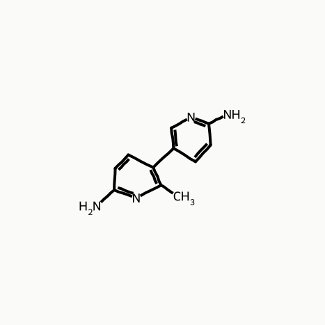 Cc1nc(N)ccc1-c1ccc(N)nc1